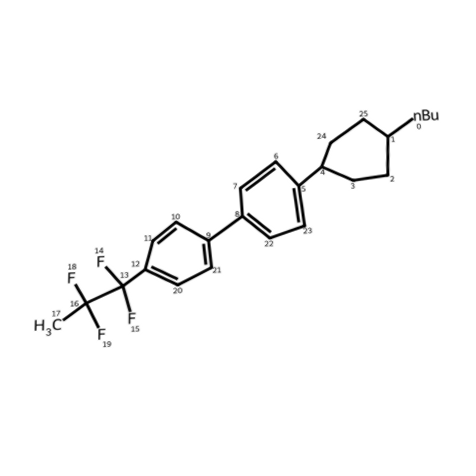 CCCCC1CCC(c2ccc(-c3ccc(C(F)(F)C(C)(F)F)cc3)cc2)CC1